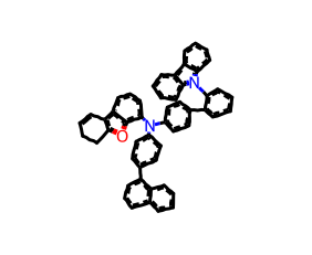 C1=Cc2c(oc3c(N(c4ccc(-c5ccccc5-n5c6ccccc6c6ccccc65)cc4)c4ccc(-c5cccc6ccccc56)cc4)cccc23)CC1